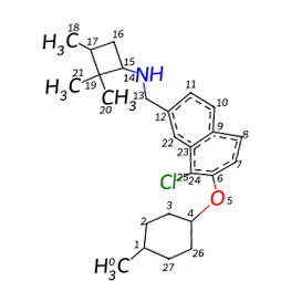 CC1CCC(Oc2ccc3ccc(CNC4CC(C)C4(C)C)cc3c2Cl)CC1